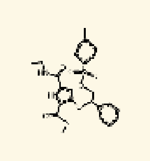 CCNC(=O)c1cc(OC(COS(=O)(=O)c2ccc(C)cc2)c2ccccc2)c(C(=O)NC)[nH]1